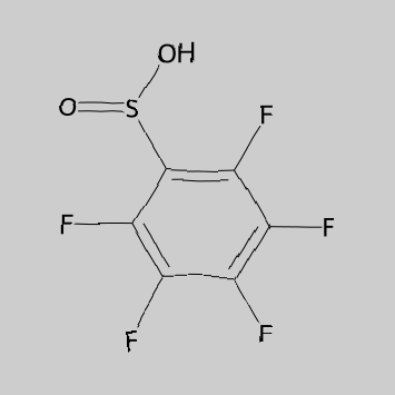 O=S(O)c1c(F)c(F)c(F)c(F)c1F